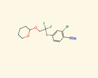 N#Cc1ccc(SC(F)(F)COC2CCCCO2)cc1Br